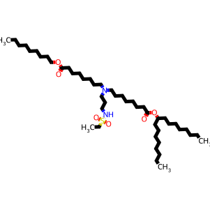 CCCCCCCCCOC(=O)CCCCCCCN(CCCCCCCC(=O)OC(CCCCCCCC)CCCCCCCC)CCCNS(=O)(=O)CC